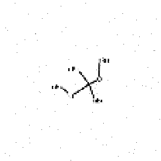 CCCCOC(CCCC)(CCCC)OCCCC